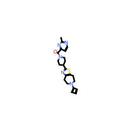 Cc1nccc(C(=O)N2CCC(c3nc4c(s3)CCN(C3=CC=C3)CC4)CC2)n1